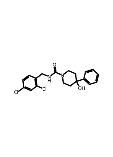 O=C(NCc1ccc(Cl)cc1Cl)N1CCC(O)(c2ccccc2)CC1